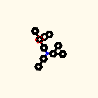 c1ccc(-c2ccc(N(c3ccc(-c4ccc(-c5ccccc5)c5c4C4c6ccccc6C5c5ccccc54)cc3)c3ccc(-c4ccccc4)c(-c4ccccc4)c3)cc2)cc1